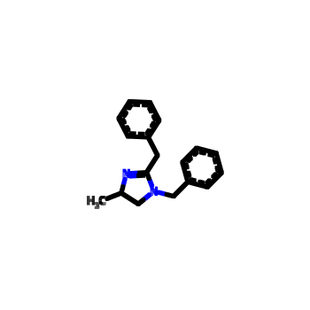 CC1CN(Cc2ccccc2)C(Cc2ccccc2)=N1